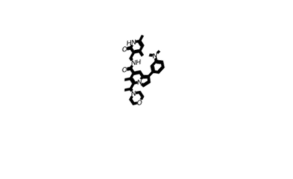 Cc1cc(C)c(CNC(=O)c2cc3c(-c4cccc(N(C)C)c4)ccn3c(C(C)N3CCOCC3)c2C)c(=O)[nH]1